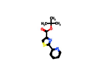 CC(C)(C)OC(=O)c1csc(-c2ccccn2)n1